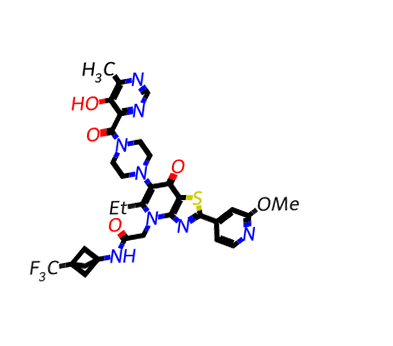 CCc1c(N2CCN(C(=O)c3ncnc(C)c3O)CC2)c(=O)c2sc(-c3ccnc(OC)c3)nc2n1CC(=O)NC12CC(C(F)(F)F)(C1)C2